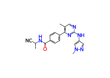 Cc1cnc(Nc2cnn(C)c2)nc1-c1ccc(C(=O)NC(C)C#N)cc1